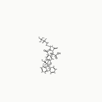 C=C1CC(CO[Si](C)(C)C(C)(C)C)N(C(=O)c2cc(OC)c(O[Si](c3ccccc3)(c3ccccc3)C(C)(C)C)cc2NC(=O)O)C1